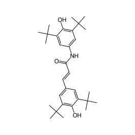 CC(C)(C)c1cc(C=CC(=O)Nc2cc(C(C)(C)C)c(O)c(C(C)(C)C)c2)cc(C(C)(C)C)c1O